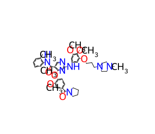 COc1cc(C(=O)N2CCCC2)ccc1Oc1nc(Nc2cc(OC)c(OC)c(OCCCN3CCN(C)CC3)c2)ncc1C(=O)Nc1c(C)cccc1C